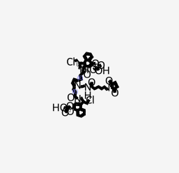 O=C(CCCCCN1C(=O)C=CC1=O)NCCn1c(/C=C/C(=O)N2CC(CCl)c3c2cc(OP(=O)(O)O)c2ccccc32)ccc1/C=C/C(=O)N1C[C@@H](CCl)c2c1cc(OP(=O)(O)O)c1ccccc21